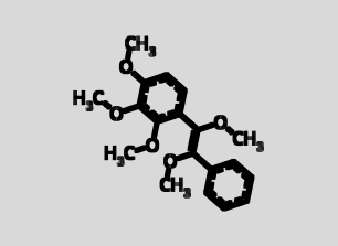 COC(=C(OC)c1ccc(OC)c(OC)c1OC)c1ccccc1